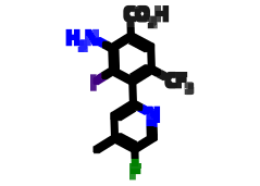 Cc1cc(-c2c(C(F)(F)F)cc(C(=O)O)c(N)c2I)ncc1F